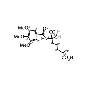 COc1cc(C(=O)NC(S)(CCCC(C)C(=O)O)C(=O)O)cc(OC)c1OC